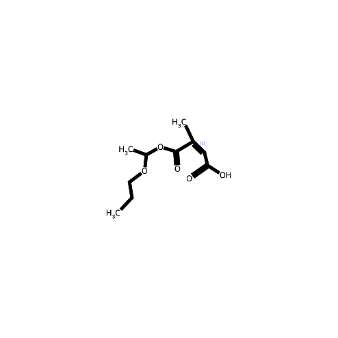 CCCOC(C)OC(=O)/C(C)=C\C(=O)O